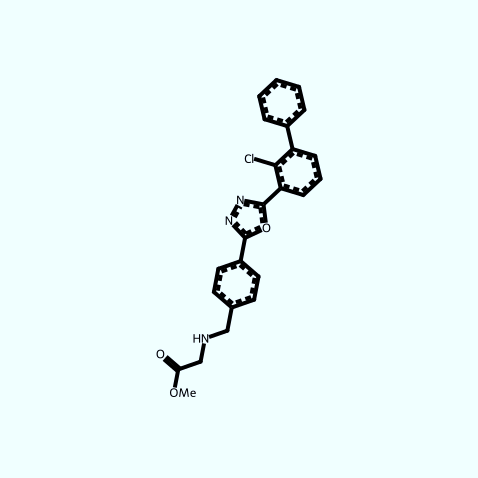 COC(=O)CNCc1ccc(-c2nnc(-c3cccc(-c4ccccc4)c3Cl)o2)cc1